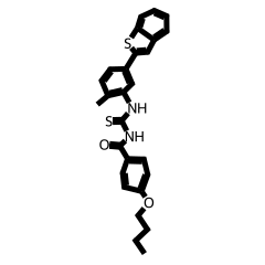 CCCCOc1ccc(C(=O)NC(=S)Nc2cc(-c3cc4ccccc4s3)ccc2C)cc1